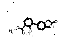 COC(=O)c1cccc(-c2ccc3c(c2)CC(=O)N3)c1OC